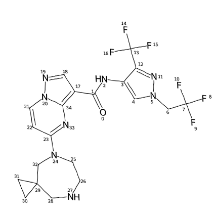 O=C(Nc1cn(CC(F)(F)F)nc1C(F)(F)F)c1cnn2ccc(N3CCNCC4(CC4)C3)nc12